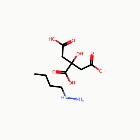 CCCCNN.O=C(O)CC(O)(CC(=O)O)C(=O)O